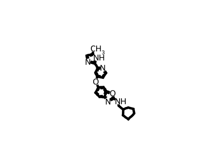 Cc1cnc(-c2cc(Oc3ccc4nc(NCC5CCCCC5)oc4c3)ccn2)[nH]1